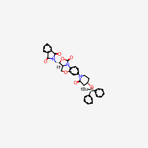 CC(C)(C)[Si](O[C@@H]1CCN(c2ccc3c(c2)OC[C@H]2[C@H](CN4C(=O)c5ccccc5C4=O)OC(=O)N32)C(=O)C1)(c1ccccc1)c1ccccc1